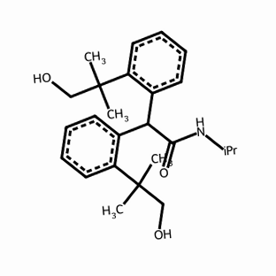 CC(C)NC(=O)C(c1ccccc1C(C)(C)CO)c1ccccc1C(C)(C)CO